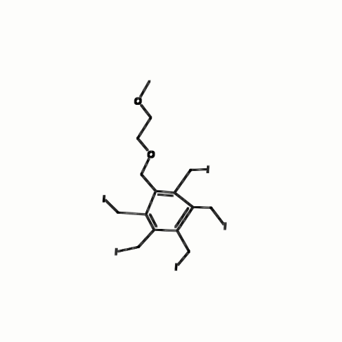 COCCOCc1c(CI)c(CI)c(CI)c(CI)c1CI